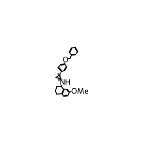 COc1ccc2c(c1)C(N[C@@H]1C[C@H]1c1ccc(OCc3ccccc3)cc1)CCC2